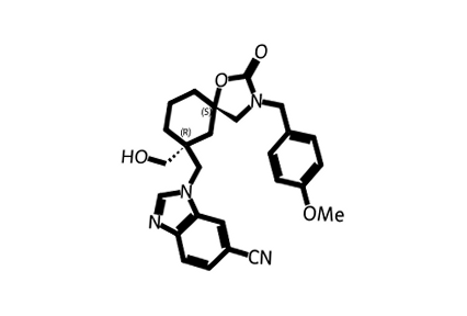 COc1ccc(CN2C[C@@]3(CCC[C@](CO)(Cn4cnc5ccc(C#N)cc54)C3)OC2=O)cc1